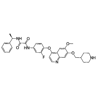 COc1cc2c(Oc3ccc(NC(=O)C(=O)N[C@H](C)c4ccccc4)cc3F)ccnc2cc1OCC1CCNCC1